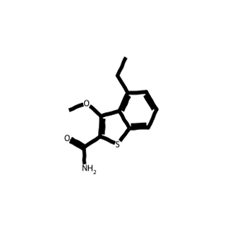 CCc1cccc2sc(C(N)=O)c(OC)c12